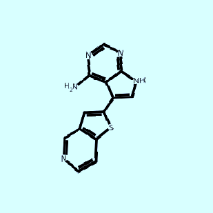 Nc1ncnc2[nH]cc(-c3cc4cnccc4s3)c12